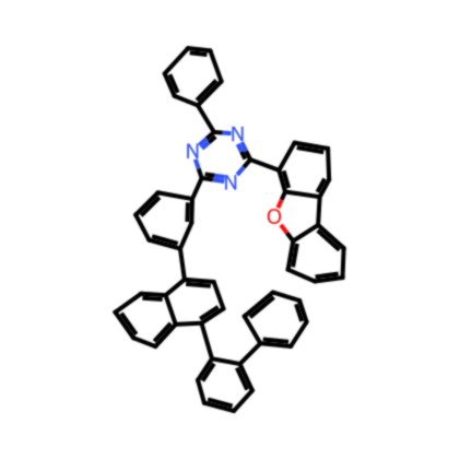 c1ccc(-c2nc(-c3cccc(-c4ccc(-c5ccccc5-c5ccccc5)c5ccccc45)c3)nc(-c3cccc4c3oc3ccccc34)n2)cc1